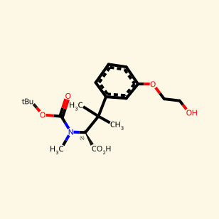 CN(C(=O)OC(C)(C)C)[C@H](C(=O)O)C(C)(C)c1cccc(OCCO)c1